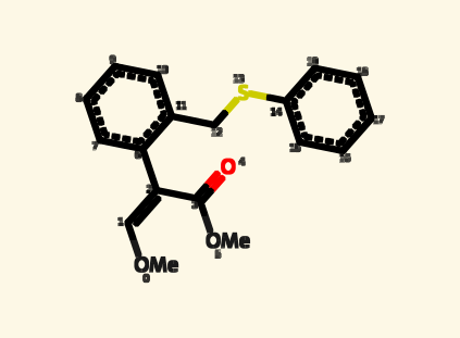 CO/C=C(\C(=O)OC)c1ccccc1CSc1ccccc1